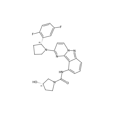 O=C(Nc1cccc2nn3ccc(N4CCC[C@@H]4c4cc(F)ccc4F)nc3c12)N1CC[C@H](O)C1